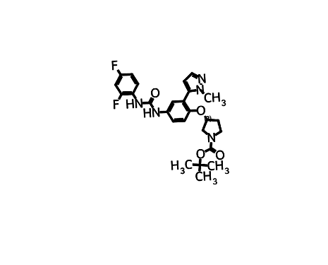 Cn1nccc1-c1cc(NC(=O)Nc2ccc(F)cc2F)ccc1O[C@@H]1CCN(C(=O)OC(C)(C)C)C1